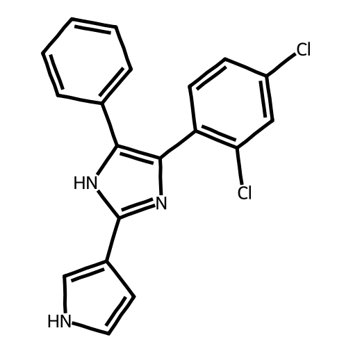 Clc1ccc(-c2nc(-c3cc[nH]c3)[nH]c2-c2ccccc2)c(Cl)c1